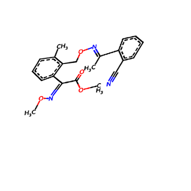 CO/N=C(/C(=O)OC)c1cccc(C)c1CO/N=C(\C)c1ccccc1C#N